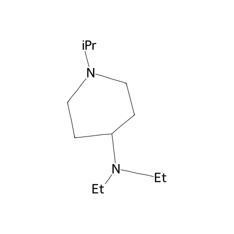 CCN(CC)C1CCN(C(C)C)CC1